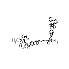 CCC(=O)N(C)CCCN(C)C(=O)c1ccc2c(c1)CCN(CCCCCC(=O)N(C)CCN1CCC(OC(=O)Nc3ccccc3-c3ccccc3)CC1)C2